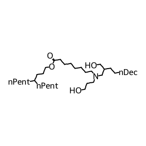 CCCCCCCCCCCCC(CO)CN(CCCO)CCCCCCCC(=O)OCCCC(CCCCC)CCCCC